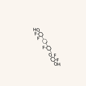 Oc1ccc(OCc2ccc(C3=CCC(c4ccc(O)c(F)c4F)CC3)c(F)c2)c(F)c1F